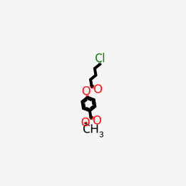 COC(=O)c1ccc(OC(=O)CCCCCl)cc1